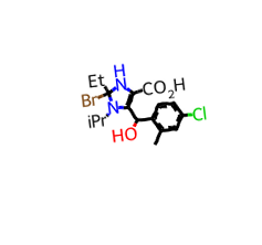 CCC1(Br)NC(C(=O)O)=C(C(O)c2ccc(Cl)cc2C)N1C(C)C